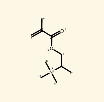 [CH2]C(COC(=O)C(=C)C)[N+](C)(C)C